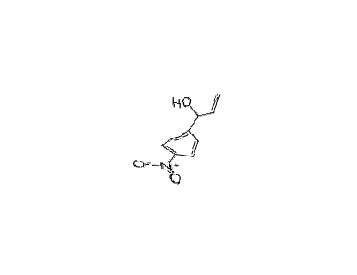 C=CC(O)c1ccc([N+](=O)[O-])cc1